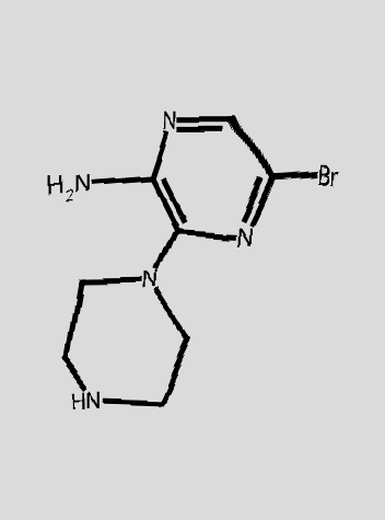 Nc1ncc(Br)nc1N1CCNCC1